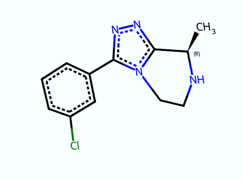 C[C@H]1NCCn2c(-c3cccc(Cl)c3)nnc21